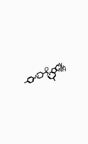 CC1=CC2=C(CC3=C2NN(C)N=C3)N(C(=O)C2CCN(c3ccc(C)cc3)CC2)C=C1